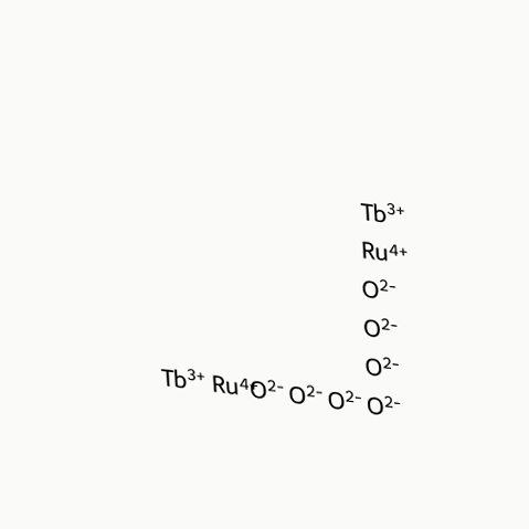 [O-2].[O-2].[O-2].[O-2].[O-2].[O-2].[O-2].[Ru+4].[Ru+4].[Tb+3].[Tb+3]